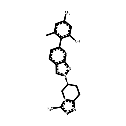 Cc1cc(C(F)(F)F)cc(O)c1-c1ccc2cn([C@H]3CCc4nnc(C(F)(F)F)n4C3)nc2n1